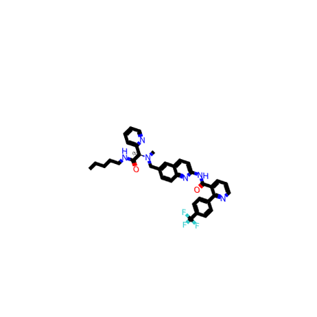 CCCCCNC(=O)[C@H](c1ccccn1)N(C)Cc1ccc2nc(NC(=O)c3cccnc3-c3ccc(C(F)(F)F)cc3)ccc2c1